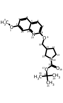 COc1ccc2ccc(OCC3CCN(C(=O)OC(C)(C)C)C3)nc2c1